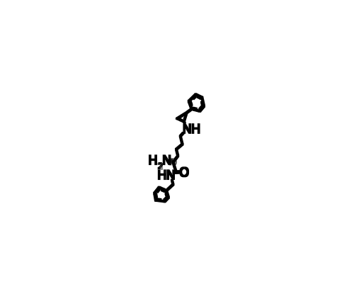 N[C@@H](CCCCNC1CC1c1ccccc1)C(=O)NCc1ccccc1